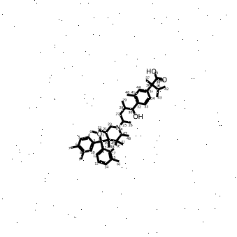 COC(c1ccc(C)c(C)c1)(c1cccc(C)c1C)C1(C)C(C)CN(C(C)CC(C)C(O)c2ccc(C(C)(C(=O)O)C(C)C)cc2C)C(C)C1(C)C